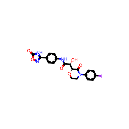 O=C(Nc1ccc(-c2noc(=O)[nH]2)cc1)[C@H](O)[C@H]1OCCN(c2ccc(I)cc2)C1=O